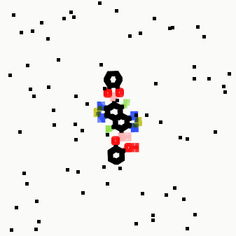 Oc1ccccc1OBc1c(F)c2c3nsnc3c(B3Oc4ccccc4O3)c(F)c2c2nsnc12